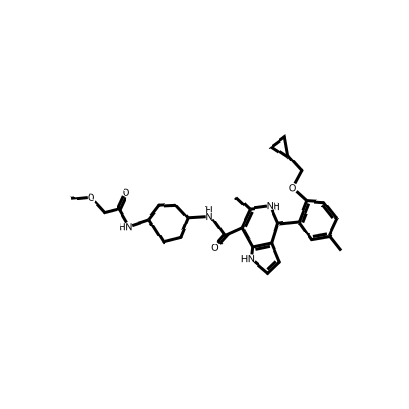 COCC(=O)NC1CCC(NC(=O)C2=C(C)NC(c3cc(C)ccc3OCC3CC3)c3cc[nH]c32)CC1